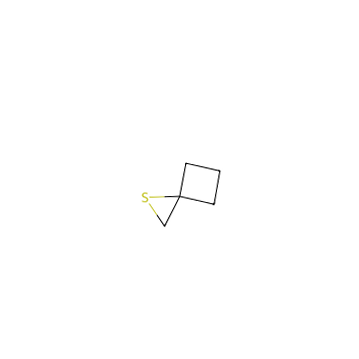 C1CC2(C1)CS2